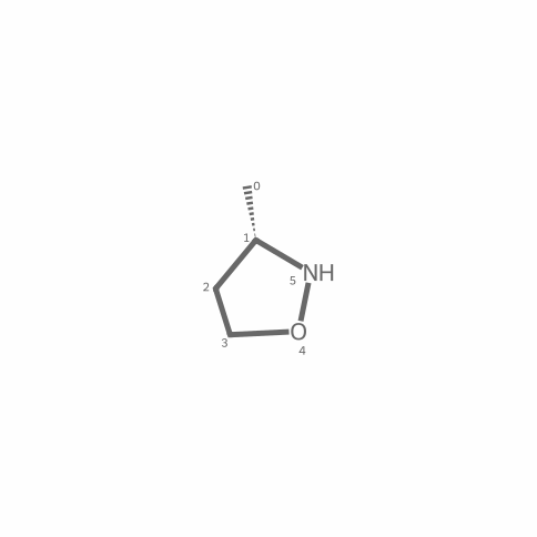 C[C@H]1CCON1